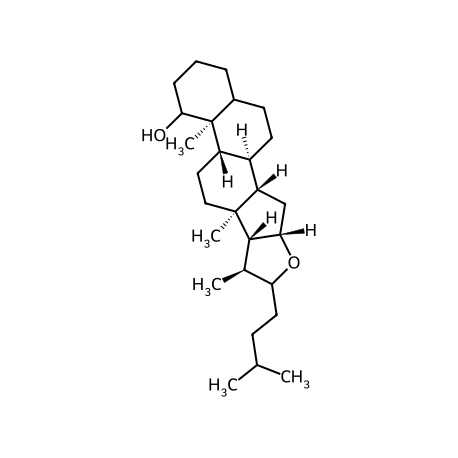 CC(C)CCC1O[C@H]2C[C@H]3[C@@H]4CCC5CCCC(O)[C@]5(C)[C@H]4CC[C@]3(C)[C@H]2[C@@H]1C